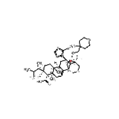 CC(C)[C@@H](C)[C@@]1(C)CC[C@]2(C)[C@H]3CC[C@@H]4[C@@]5(COC[C@]4(C)[C@@H](OCC4(N)CCOCC4)[C@H](n4ncnc4Br)C5)C3=CC[C@@]2(C)[C@@H]1C(=O)O